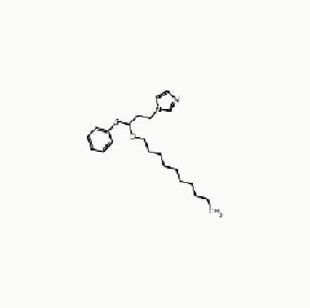 CCCCCCCCCCOC(CCn1ccnc1)Sc1ccccc1